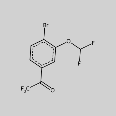 O=C(c1ccc(Br)c(OC(F)F)c1)C(F)(F)F